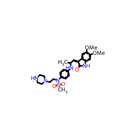 COc1cc2c(cc1OC)C(=CC(C)Nc1ccc(N(CCN3CCNCC3)S(C)(=O)=O)cc1)C(=O)N2